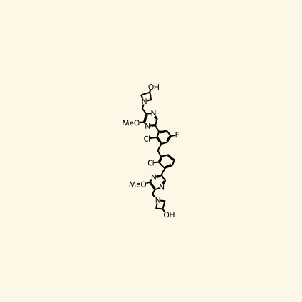 COc1nc(-c2cccc(Cc3cc(F)cc(-c4cnc(CN5CC(O)C5)c(OC)n4)c3Cl)c2Cl)cnc1CN1CC(O)C1